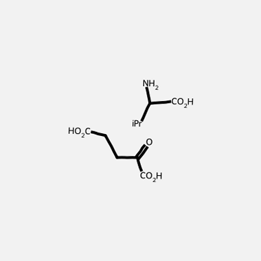 CC(C)C(N)C(=O)O.O=C(O)CCC(=O)C(=O)O